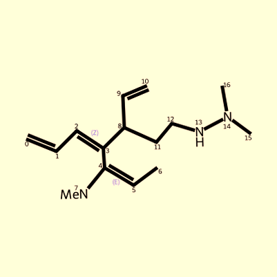 C=C/C=C(\C(=C/C)NC)C(C=C)CCNN(C)C